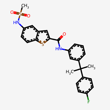 CC(C)(c1ccc(F)cc1)c1cccc(NC(=O)c2cc3cc(NS(C)(=O)=O)ccc3s2)c1